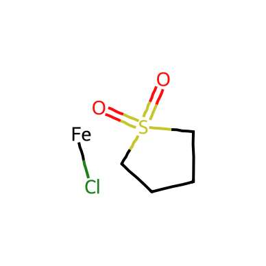 O=S1(=O)CCCC1.[Cl][Fe]